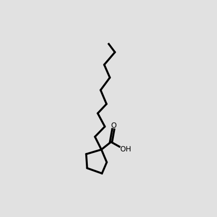 CCCCCCCCCC1(C(=O)O)CCCC1